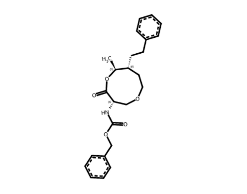 C[C@@H]1OC(=O)[C@@H](NC(=O)OCc2ccccc2)COCC[C@H]1CCc1ccccc1